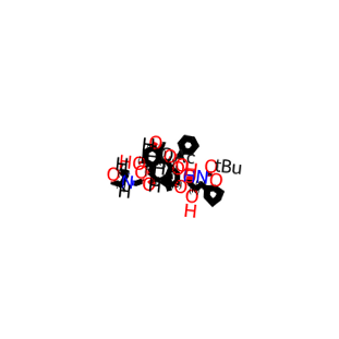 CC(=O)O[C@@]12CO[C@@H]1C[C@H](O)[C@@]1(C)[C@@H]3OC(CN4C[C@@H]5C[C@H]4CO5)O[C@@H]3C3=C(C)[C@@H](OC(=O)[C@H](O)[C@@H](NC(=O)OC(C)(C)C)c4ccccc4)C[C@@](O)([C@@H](OC(=O)c4ccccc4)[C@H]21)C3(C)C